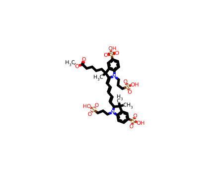 COC(=O)CCCCC1(C)/C(=C/C=C/C=C/[C]2N(CCCS(=O)(=O)O)c3ccc(S(=O)(=O)O)cc3C2(C)C)N(CCCS(=O)(=O)O)c2ccc(S(=O)(=O)O)cc21